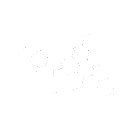 CCc1c(N2CCNCC2)c(=O)c2nc(C(F)F)cnc2n1CC(=O)Nc1ccc(C(F)(F)F)cc1Cl.Cl